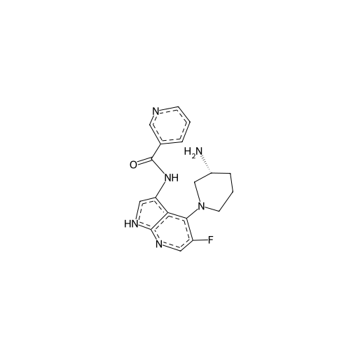 N[C@@H]1CCCN(c2c(F)cnc3[nH]cc(NC(=O)c4cccnc4)c23)C1